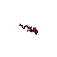 CC/C=C\C/C=C\C/C=C\C/C=C\C/C=C\C/C=C\CCC(=O)NCCCC[C@H](NC(=O)C1=C[C@@H](OC(CC)CC)[C@H](NC(C)=O)[C@@H](N)C1)C(=O)O